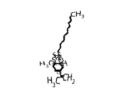 C=C(C)[C@H]1CC[C@@]2(C)SP(=S)(SCCCCCCCCCCCC)O[C@@H]2C1